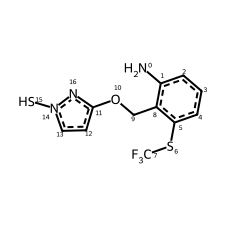 Nc1cccc(SC(F)(F)F)c1COc1ccn(S)n1